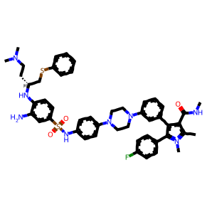 CNC(=O)c1c(-c2cccc(N3CCN(c4ccc(NS(=O)(=O)c5ccc(N[C@H](CCN(C)C)CSc6ccccc6)c(N)c5)cc4)CC3)c2)c(-c2ccc(F)cc2)n(C)c1C